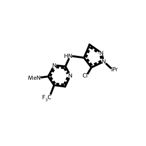 CNc1nc(Nc2cnn(C(C)C)c2Cl)ncc1C(F)(F)F